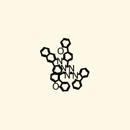 c1ccc2cc3c(cc2c1)c1ccccc1n3-c1c(-c2nc(-c3cccc4oc5ccccc5c34)nc(-n3c4ccccc4c4ccccc43)n2)ccc2c1oc1ccccc12